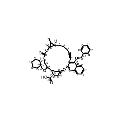 CC1[C@H]2CCCC#Cc3c(nc4ccccc4c3OCc3ccccc3)O[C@@H]3C[C@@H](C(=O)O)N(C3)C(=O)[C@H](C3(C)CCCCC3)NC(=O)O[C@H]12